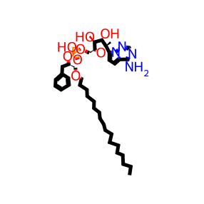 CCCCCCCCCCCCCCCCCCOC[C@H](Cc1ccccc1)OP(=O)(O)OC[C@H]1O[C@@](C)(c2ccc3c(N)ncnn23)[C@H](O)[C@@H]1O